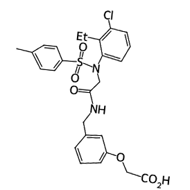 CCc1c(Cl)cccc1N(CC(=O)NCc1cccc(OCC(=O)O)c1)S(=O)(=O)c1ccc(C)cc1